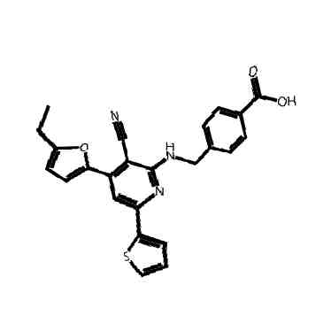 CCc1ccc(-c2cc(-c3cccs3)nc(NCc3ccc(C(=O)O)cc3)c2C#N)o1